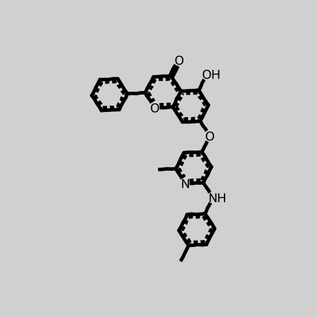 Cc1ccc(Nc2cc(Oc3cc(O)c4c(=O)cc(-c5ccccc5)oc4c3)cc(C)n2)cc1